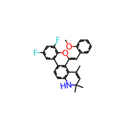 COc1ccccc1C=C1Oc2c(F)cc(F)cc2-c2ccc3c(c21)C(C)=CC(C)(C)N3